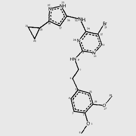 COc1ccc(CCNc2ncc(Br)c(Nc3cc(C4CC4)n[nH]3)n2)cc1OC